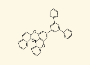 O=P12c3ccccc3Oc3cc(-c4cc(-c5ccccc5)cc(-c5ccccc5)c4)cc(c31)Oc1ccc3ccccc3c12